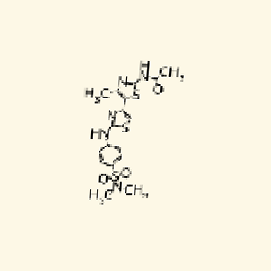 CC(=O)Nc1nc(C)c(-c2csc(Nc3ccc(S(=O)(=O)N(C)C)cc3)n2)s1